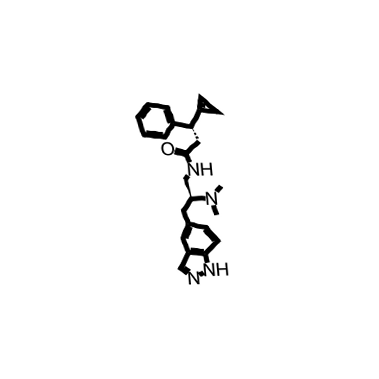 CN(C)[C@H](CNC(=O)C[C@@H](C1=CC1)c1ccccc1)Cc1ccc2[nH]ncc2c1